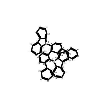 c1ccc(-c2ccc(-n3c4ccccc4c4ccccc43)c(-c3cccc(-c4ccccc4)c3-n3c4ccccc4c4ccccc43)c2)cc1